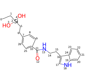 CC[Si](O)(O)CCc1ccc(C(=O)NCCc2c[nH]c3ccccc23)cc1